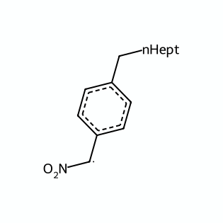 CCCCCCCCc1ccc([CH][N+](=O)[O-])cc1